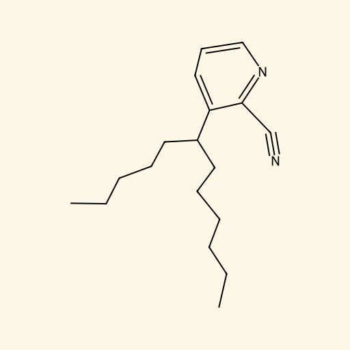 CCCCCCC(CCCCC)c1cccnc1C#N